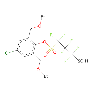 CCOCc1cc(Cl)cc(COCC)c1OS(=O)(=O)C(F)(F)C(F)(F)C(F)(F)S(=O)(=O)O